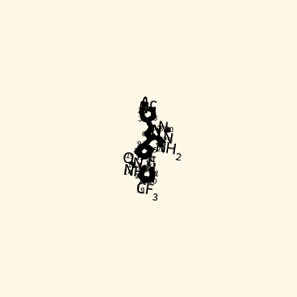 CC(=O)N1CCC(c2cc(-c3ccc(N(C(N)=O)c4cc(C(F)(F)F)ccn4)c(F)c3)c3c(N)ncnn23)CC1